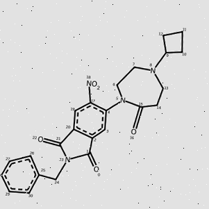 O=C1c2cc(N3CCN(C4CCC4)CCC3=O)c([N+](=O)[O-])cc2C(=O)N1Cc1ccccc1